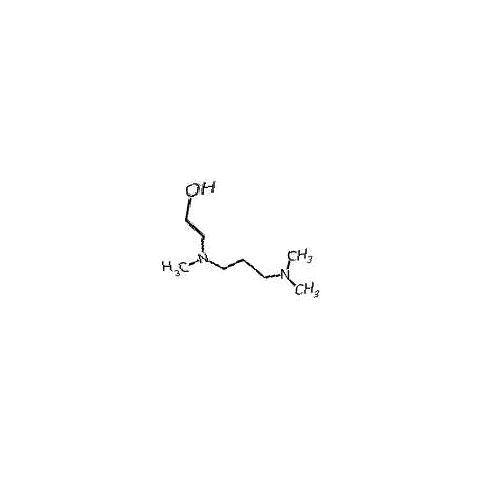 CN(C)CCCN(C)CCO